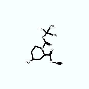 CC1CCN(C(=O)OC(C)(C)C)C(C(=O)OC#N)C1